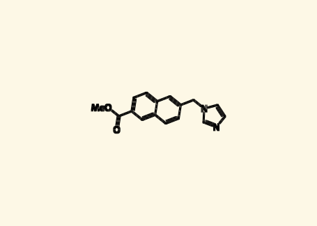 COC(=O)c1ccc2cc(Cn3ccnc3)ccc2c1